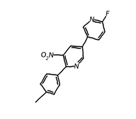 Cc1ccc(-c2ncc(-c3ccc(F)nc3)cc2[N+](=O)[O-])cc1